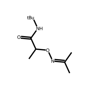 CC(C)=NOC(C)C(=O)NC(C)(C)C